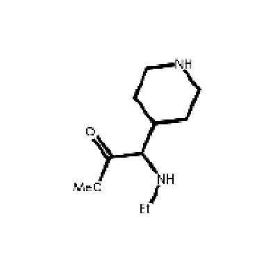 CCNC(C(=O)OC)C1CCNCC1